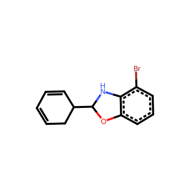 Brc1cccc2c1NC(C1C=CC=CC1)O2